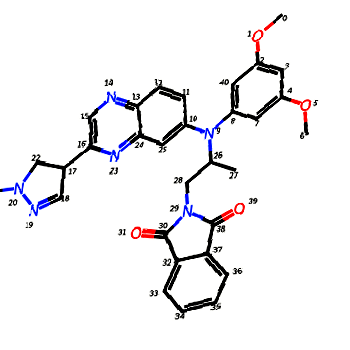 COc1cc(OC)cc(N(c2ccc3ncc(C4C=NN(C)C4)nc3c2)C(C)CN2C(=O)c3ccccc3C2=O)c1